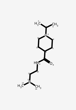 CC(C)N1CCC(C(=O)NCCN(C)C)CC1